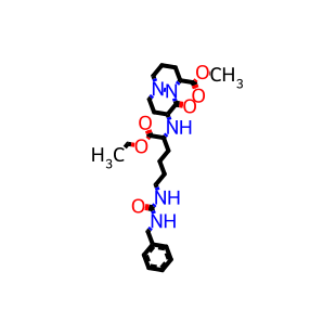 CCOC(=O)C(CCCCNC(=O)NCc1ccccc1)NC1CCN2CCCC(C(=O)OC)N2C1=O